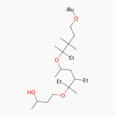 CCC(C)OCCC(C)(C)C(C)(CC)OC(C)CC(CC)C(C)(CC)OCCC(C)O